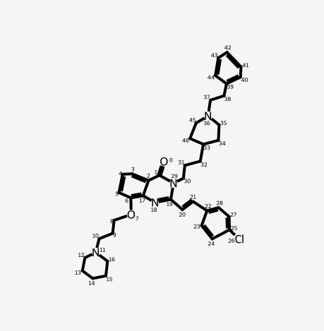 O=c1c2cccc(OCCCN3CCCCC3)c2nc(/C=C/c2ccc(Cl)cc2)n1CCCC1CCN(CCc2ccccc2)CC1